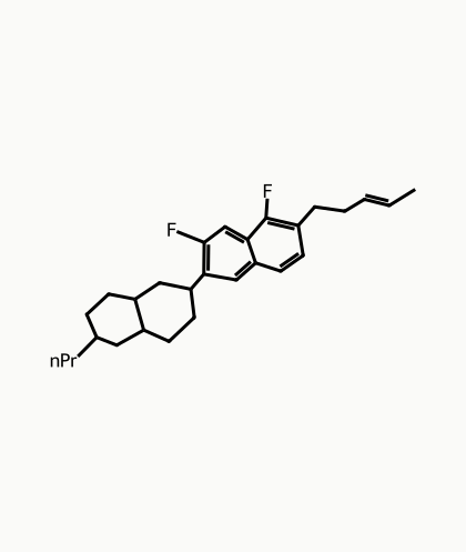 CC=CCCc1ccc2cc(C3CCC4CC(CCC)CCC4C3)c(F)cc2c1F